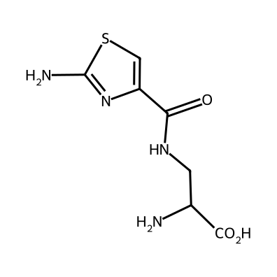 Nc1nc(C(=O)NCC(N)C(=O)O)cs1